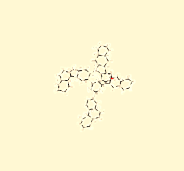 c1ccc2cc(-c3nc(-c4ccc5c(ccc6ccccc65)c4)nc(-c4cc5c(cc4-n4c6ccccc6c6cc7ccccc7cc64)oc4ccc6ccccc6c45)n3)ccc2c1